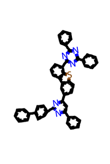 c1ccc(-c2ccc(-c3nc(-c4ccccc4)cc(-c4ccc5sc6c(-c7nc(-c8ccccc8)nc(-c8ccccc8)n7)cccc6c5c4)n3)cc2)cc1